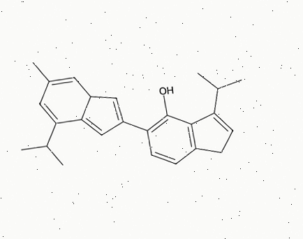 CC1=CC2C=C(c3ccc4c(c3O)C(C(C)C)=CC4)C=C2C(C(C)C)=C1